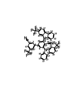 N#Cc1cc(-c2cc(-n3c4ccccc4c4ccc(C(F)(F)F)cc43)c(C#N)c(-n3c4ccccc4c4ccc(C(F)(F)F)cc43)c2)cc(C(F)(F)F)c1